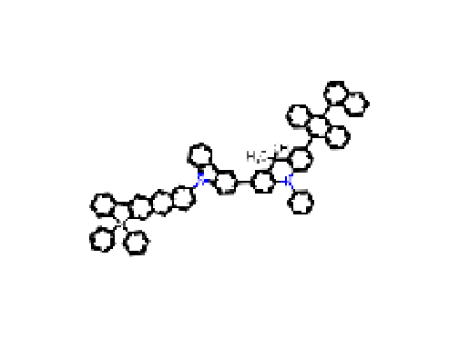 CC1(C)c2cc(-c3ccc4c(c3)c3ccccc3n4-c3ccc4cc5cc6c(cc5cc4c3)-c3ccccc3[Si]6(c3ccccc3)c3ccccc3)ccc2N(c2ccccc2)c2ccc(-c3c4ccccc4c(-c4cccc5ccccc45)c4ccccc34)cc21